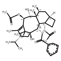 CC(=O)O[C@@H]1C2=C(C)[C@@H](C(C)C)C[C@@](O)([C@@H](OC(=O)c3ccccc3)[C@@H]3[C@]4(OC(C)=O)CC[C@@H]4C[C@H](C)[C@@]3(C)[C@H]1O)C2(C)C